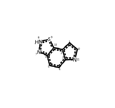 c1cc2c(ccc3n[nH]sc32)n1